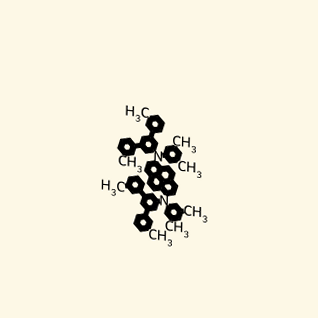 Cc1cccc(-c2cc(-c3cccc(C)c3)cc(N(c3cc(C)cc(C)c3)c3ccc4ccc5c(N(c6cc(C)cc(C)c6)c6cc(-c7cccc(C)c7)cc(-c7cccc(C)c7)c6)ccc6ccc3c4c65)c2)c1